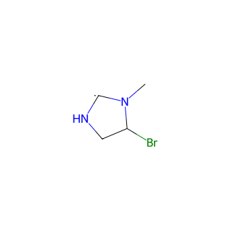 CN1[CH]NCC1Br